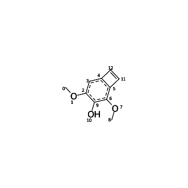 COc1cc2c(c(OC)c1O)C=C2